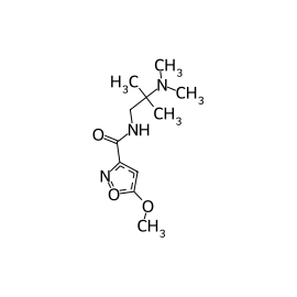 COc1cc(C(=O)NCC(C)(C)N(C)C)no1